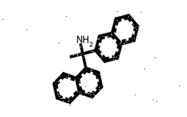 CC(N)(c1ccc2ccccc2c1)c1cccc2ccccc12